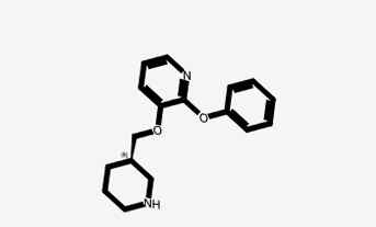 c1ccc(Oc2ncccc2OC[C@@H]2CCCNC2)cc1